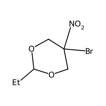 CCC1OCC(Br)([N+](=O)[O-])CO1